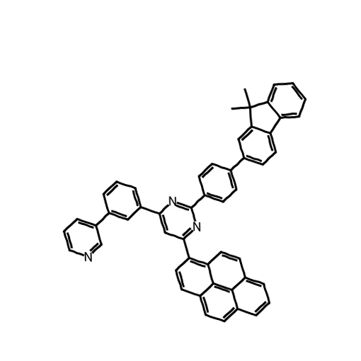 CC1(C)c2ccccc2-c2ccc(-c3ccc(-c4nc(-c5cccc(-c6cccnc6)c5)cc(-c5ccc6ccc7cccc8ccc5c6c78)n4)cc3)cc21